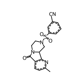 Cc1ccc2c(n1)C1CN(S(=O)(=O)c3cccc(C#N)c3)CCN1C2=O